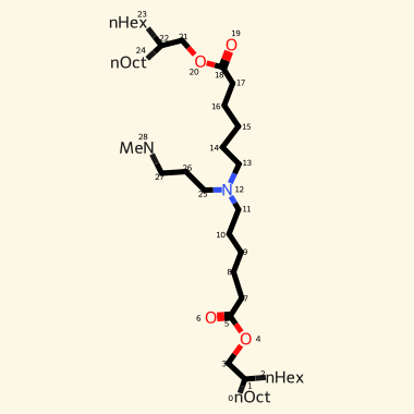 CCCCCCCCC(CCCCCC)COC(=O)CCCCCN(CCCCCC(=O)OCC(CCCCCC)CCCCCCCC)CCCNC